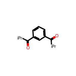 CC(C)C(=O)c1cccc(C(=O)C(C)C)c1